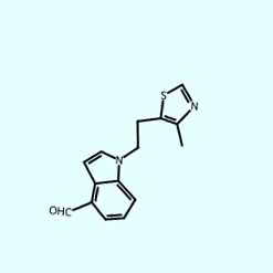 Cc1ncsc1CCn1ccc2c(C=O)cccc21